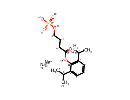 CC(C)c1cccc(C(C)C)c1OC(=O)CCCOP(=O)([O-])[O-].[Na+].[Na+]